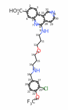 O=C(O)c1ccc2c(c1)nc(NCCCOCCCNCc1ccc(OC(F)(F)F)c(Cl)c1)c1ccncc12